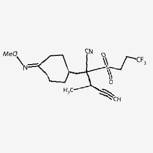 C#CC(C)C(C#N)(C1CCC(=NOC)CC1)S(=O)(=O)CCC(F)(F)F